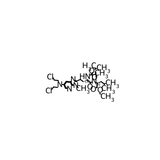 CCOC(=O)[C@H](CC(C)C)NC(=O)[C@H](CCc1nc2cc(N(CCCl)CCCl)cnc2n1C)NC(=O)OC(C)(C)C